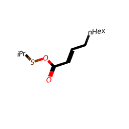 CCCCCCCC=CC(=O)OSC(C)C